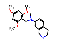 CN(Cc1c(OC(F)(F)F)cc(OC(F)(F)F)cc1OC(F)(F)F)c1ccc2c(c1)C[N]CC2